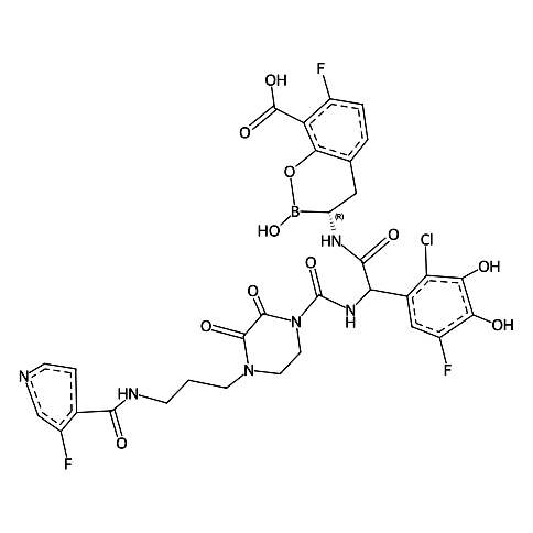 O=C(NCCCN1CCN(C(=O)NC(C(=O)N[C@H]2Cc3ccc(F)c(C(=O)O)c3OB2O)c2cc(F)c(O)c(O)c2Cl)C(=O)C1=O)c1ccncc1F